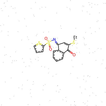 CCSC1=C/C(=N/S(=O)(=O)c2cccs2)c2ccccc2C1=O